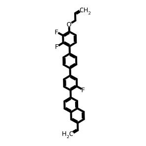 C=CCOc1ccc(-c2ccc(-c3ccc(-c4ccc5cc(C=C)ccc5c4)c(F)c3)cc2)c(F)c1F